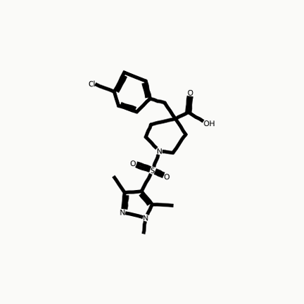 Cc1nn(C)c(C)c1S(=O)(=O)N1CCC(Cc2ccc(Cl)cc2)(C(=O)O)CC1